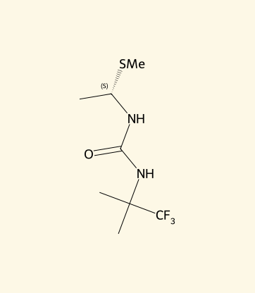 CS[C@@H](C)NC(=O)NC(C)(C)C(F)(F)F